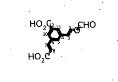 O=CO/C=C/c1cc(/C=C/C(=O)O)cc(C(=O)O)c1